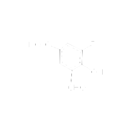 O=Cc1cc(C(=O)O)cc(F)c1O